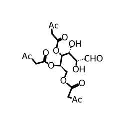 CC(=O)CC(=O)OC[C@@H](OC(=O)CC(C)=O)[C@@H](OC(=O)CC(C)=O)[C@H](O)[C@@H](O)C=O